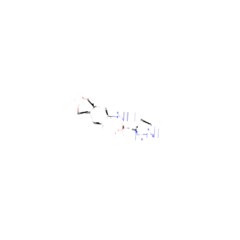 O=C(Nc1ccc2cocc2c1)c1cc[nH]n1